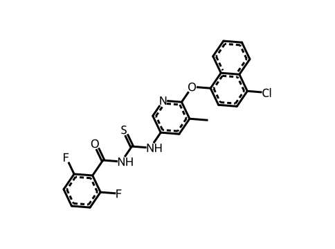 Cc1cc(NC(=S)NC(=O)c2c(F)cccc2F)cnc1Oc1ccc(Cl)c2ccccc12